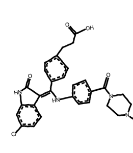 CN1CCN(C(=O)c2ccc(NC(=C3C(=O)Nc4cc(Cl)ccc43)c3ccc(CCC(=O)O)cc3)cc2)CC1